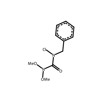 CON(OC)C(=O)N(Cl)Cc1ccccc1